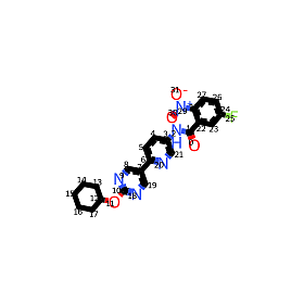 O=C(Nc1ccc(-c2cnc(OC3CCCCC3)nc2)nc1)c1cc(F)ccc1[N+](=O)[O-]